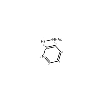 CC(=O)NS.c1ccnnc1